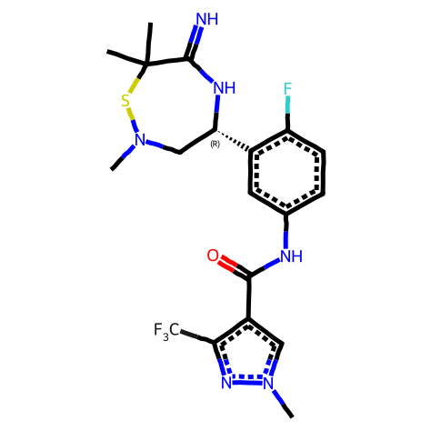 CN1C[C@@H](c2cc(NC(=O)c3cn(C)nc3C(F)(F)F)ccc2F)NC(=N)C(C)(C)S1